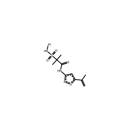 C=C(C)c1cc(NC(=O)C(C)(C)S(=O)(=O)NC(C)C)no1